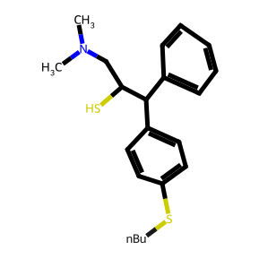 CCCCSc1ccc(C(c2ccccc2)C(S)CN(C)C)cc1